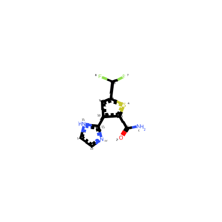 NC(=O)c1sc(C(F)F)cc1-c1ncc[nH]1